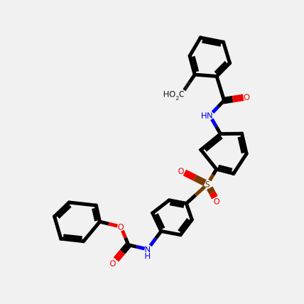 O=C(Nc1ccc(S(=O)(=O)c2cccc(NC(=O)c3ccccc3C(=O)O)c2)cc1)Oc1ccccc1